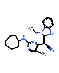 CCN1C(=C(C#N)c2nc(NC3CCCCCC3)ncc2C)Nc2ccccc21